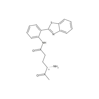 CC(=O)[C@@H](N)CCC(=O)Nc1ccccc1-c1nc2ccccc2s1